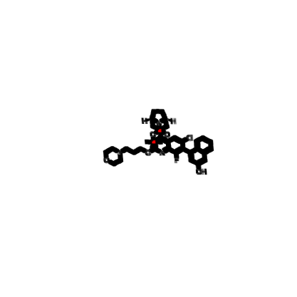 CC(C)(C)OC(=O)N1[C@@H]2CC[C@H]1CN(c1nc(OCCCN3CCOCC3)nc3c(F)c(-c4cc(O)cc5ccccc45)c(Cl)cc13)C2